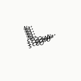 O=C([O-])[S-].O=C([O-])[S-].O=C([O-])[S-].O=C([O-])[S-].[Na+].[Na+].[Na+].[Na+].[Na+].[Na+].[Na+].[Na+]